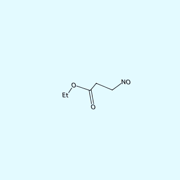 CCOC(=O)CCN=O